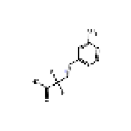 Cc1cccc(/C=C/C(F)(F)C(=O)O)c1